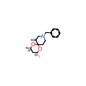 C[C@@H]1C[C@@H](C)OC2(CCN(Cc3ccccc3)C[C@@H]2C)O1